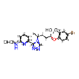 CC(CCCOc1ccc(Br)cc1C(=O)O)n1cnnc1-c1cccc(NC=O)n1